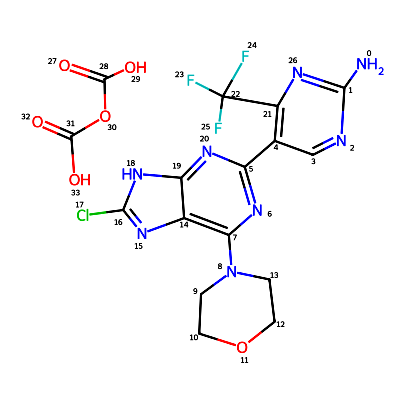 Nc1ncc(-c2nc(N3CCOCC3)c3nc(Cl)[nH]c3n2)c(C(F)(F)F)n1.O=C(O)OC(=O)O